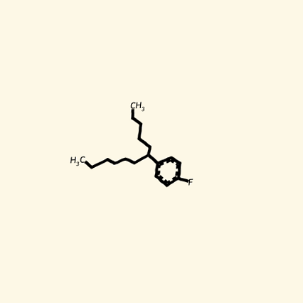 CCCCCCC(CCCCC)c1ccc(F)cc1